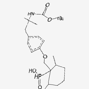 CCCCOC(=O)NC(C)(C)Cc1ccc(OCC2([PH](=O)O)C(C)CCCC2C)cc1